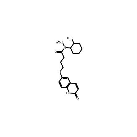 CCCCCCCCN(C(=O)CCCOc1ccc2[nH]c(=O)ccc2c1)C1CCCCC1C